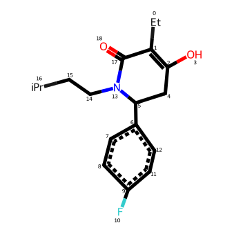 CCC1=C(O)CC(c2ccc(F)cc2)N(CCC(C)C)C1=O